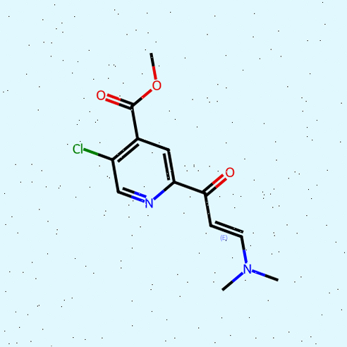 COC(=O)c1cc(C(=O)/C=C/N(C)C)ncc1Cl